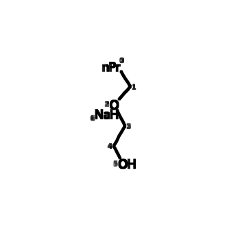 CCCCOCCO.[NaH]